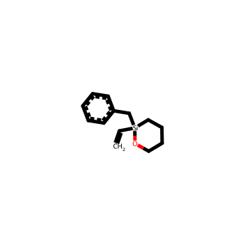 C=C[Si]1(Cc2ccccc2)CCCCO1